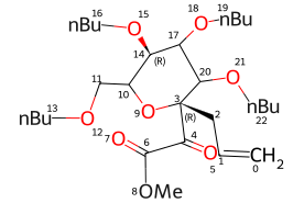 C=CC[C@@]1(C(=O)C(=O)OC)OC(COCCCC)[C@@H](OCCCC)C(OCCCC)C1OCCCC